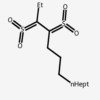 CCCCCCCCCCC(C(CC)=S(=O)=O)=S(=O)=O